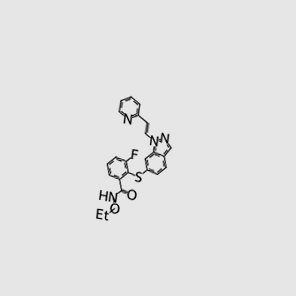 CCONC(=O)c1cccc(F)c1Sc1ccc2cnn(C=Cc3ccccn3)c2c1